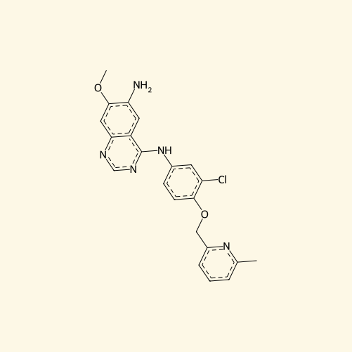 COc1cc2ncnc(Nc3ccc(OCc4cccc(C)n4)c(Cl)c3)c2cc1N